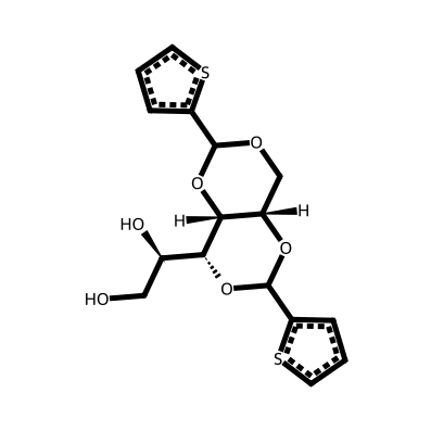 OC[C@@H](O)[C@H]1OC(c2cccs2)O[C@H]2COC(c3cccs3)O[C@@H]12